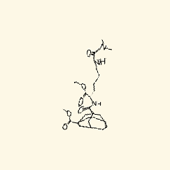 COC(=O)[C@H](CCCCNC(=O)N(C)C)NC(=O)C12CC3CC(C1)CC(C(=O)OC)(C3)C2